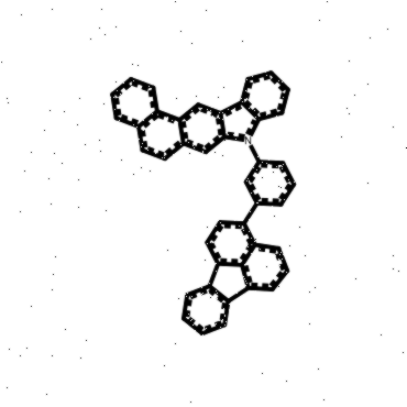 c1cc(-c2ccc3c4c(cccc24)-c2ccccc2-3)cc(-n2c3ccccc3c3cc4c(ccc5ccccc54)cc32)c1